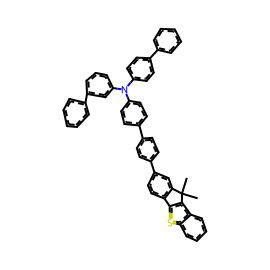 CC1(C)c2cc(-c3ccc(-c4ccc(N(c5ccc(-c6ccccc6)cc5)c5cccc(-c6ccccc6)c5)cc4)cc3)ccc2-c2sc3ccccc3c21